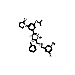 CC(C)Oc1cc(C(=O)N[C@@H](Cc2ccccc2)[C@@H](O)CNCc2cc(Br)cc(Br)c2)cc(N2CCCC2=O)c1